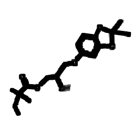 CCC(C)(C)C(=O)OCC(O)COc1ccc2c(c1)OC(C)(C)O2